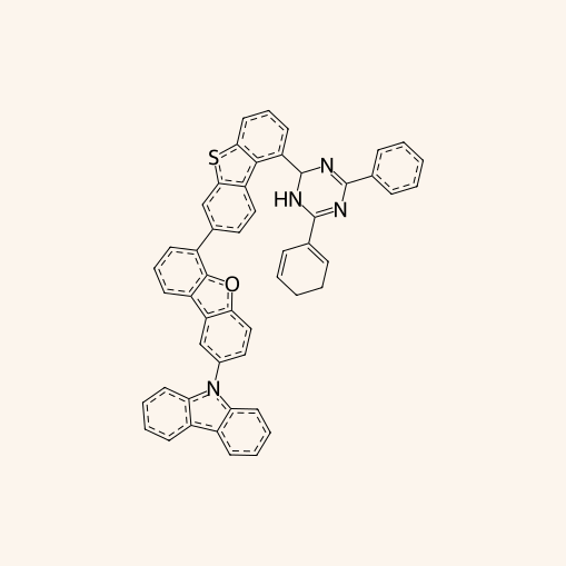 C1=CC(C2=NC(c3ccccc3)=NC(c3cccc4sc5cc(-c6cccc7c6oc6ccc(-n8c9ccccc9c9ccccc98)cc67)ccc5c34)N2)=CCC1